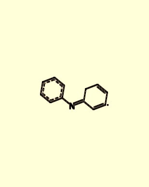 [C]1=CC(=Nc2ccccc2)CC=C1